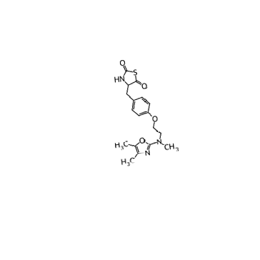 Cc1nc(N(C)CCOc2ccc(CC3NC(=O)SC3=O)cc2)oc1C